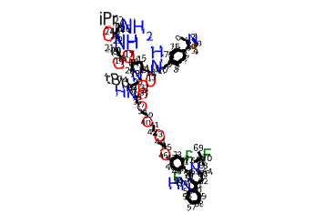 Cc1ncsc1-c1ccc(CNC(=O)[C@@H]2C[C@@H](OC(=O)[C@H](C)NC(=O)[C@@H](N)C(C)C)CN2C(=O)[C@@H](NC(=O)COCCOCCOCCOc2cc(F)c([C@@H]3c4[nH]c5ccccc5c4C[C@@H](C)N3CC(C)(C)F)c(F)c2)C(C)(C)C)cc1